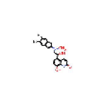 CCc1cc2c(cc1CC)CC(NCC(O)c1ccc(O)c3[nH]c(=O)ccc13)=C2.O